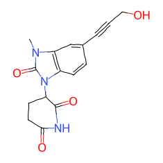 Cn1c(=O)n(C2CCC(=O)NC2=O)c2ccc(C#CCO)cc21